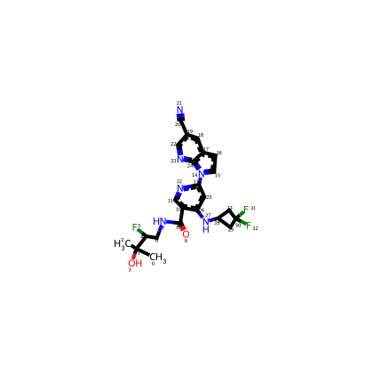 CC(C)(O)C(F)CNC(=O)c1cnc(-n2ccc3cc(C#N)cnc32)cc1NC1CC(F)(F)C1